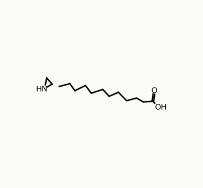 C1CN1.CCCCCCCCCCCC(=O)O